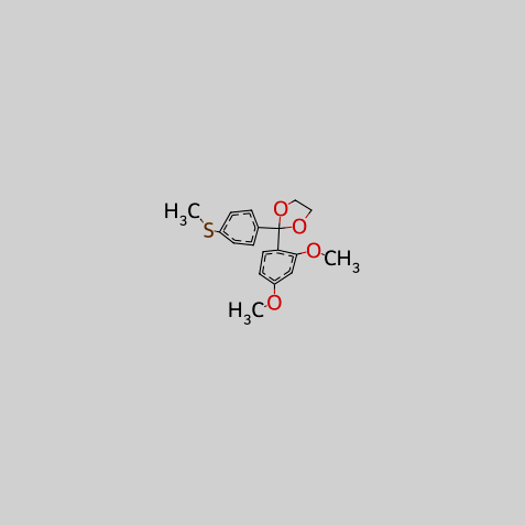 COc1ccc(C2(c3ccc(SC)cc3)OCCO2)c(OC)c1